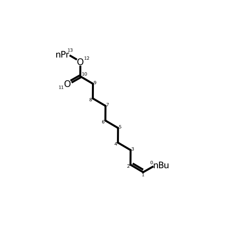 CCCC/C=C\CCCCCCCC(=O)OCCC